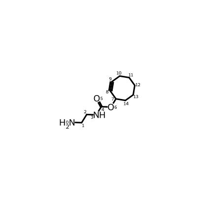 NCCNC(=O)OC1C#CCCCCC1